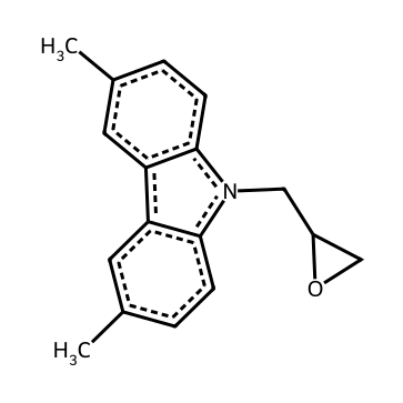 Cc1ccc2c(c1)c1cc(C)ccc1n2CC1CO1